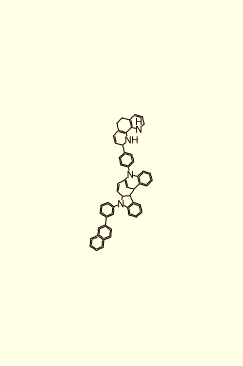 C1=CC2=C(NC1)C1=C(C=CC(c3ccc(N4C5=CC(c6ccccc64)C4c6ccccc6N(c6cccc(-c7ccc8ccccc8c7)c6)C4C=C5)cc3)N1)CC2